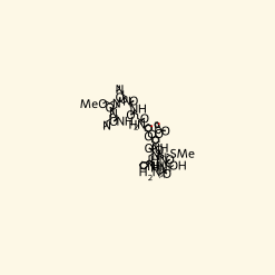 COCCCN(CC(=O)N(CCCN(C)C)CC(N)=O)C(=O)CN(CCCN(C)C)C(=O)CNC(=O)CCC(=O)Nc1ccc2c(c1)Oc1cc(NC(=O)C(Cc3c[nH]c4ccccc34)NC(=O)[C@H](CCSC)NC(=O)[C@@H](NC(=O)[C@H](C)N)C(C)O)ccc1C21OC(=O)c2ccccc21